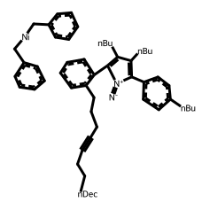 CCCCCCCCCCCCC#CCCCc1ccccc1C1=C(CCCC)C(CCCC)=C(c2ccc(CCCC)cc2)[N+]1=[N-].c1ccc([CH2][Ni][CH2]c2ccccc2)cc1